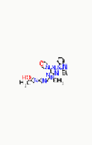 CCc1nc2ccccc2n1-c1nc(N2CCOCC2)c2nc(CN3CC(N4CC(C)(O)C4)C3)n(C)c2n1